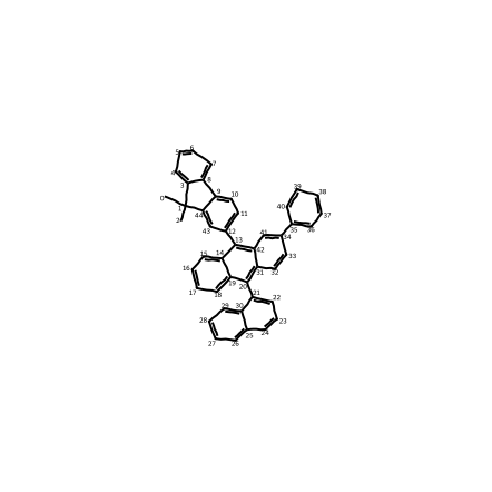 CC1(C)c2ccccc2-c2ccc(-c3c4ccccc4c(-c4cccc5ccccc45)c4ccc(-c5ccccc5)cc34)cc21